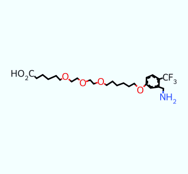 NCc1cc(OCCCCCCOCCOCCOCCCCCC(=O)O)ccc1C(F)(F)F